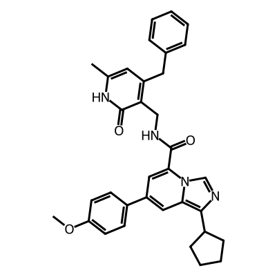 COc1ccc(-c2cc(C(=O)NCc3c(Cc4ccccc4)cc(C)[nH]c3=O)n3cnc(C4CCCC4)c3c2)cc1